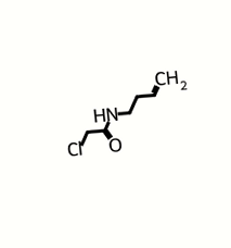 C=CCCNC(=O)CCl